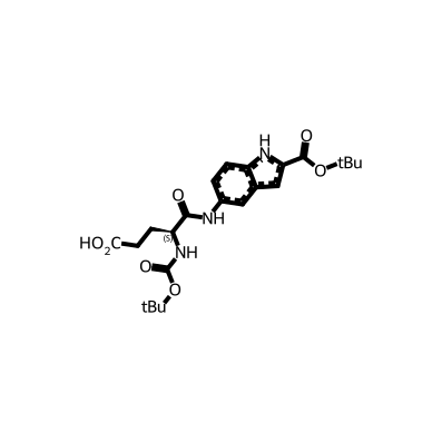 CC(C)(C)OC(=O)N[C@@H](CCC(=O)O)C(=O)Nc1ccc2[nH]c(C(=O)OC(C)(C)C)cc2c1